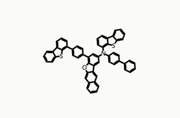 c1ccc(-c2ccc(N(c3cc(-c4ccc(-c5cccc6c5sc5ccccc56)cc4)c4oc5cc6ccccc6cc5c4c3)c3cccc4c3sc3ccccc34)cc2)cc1